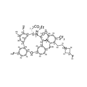 CCOC(=O)C[C@@H]1NC(=O)[C@@H](n2cc(CCN3CC(F)C3)c(C(F)(F)F)cc2=O)c2cc(ccc2F)Oc2ccc(F)cc2-c2cc(C)c(F)c1c2